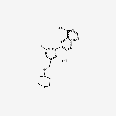 Cl.Nc1ncnc2ccc(-c3cc(F)cc(CNC4CCOCC4)c3)nc12